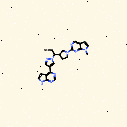 Cn1ccc2cnc(N3CCC(C(CC#N)n4cc(-c5ncnc6[nH]ccc56)cn4)C3)nc21